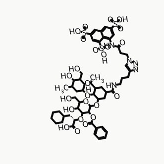 CCC1CC(C(=O)NCCCc2cn(CCC(=O)Nc3cc(S(=O)(=O)O)cc4cc(S(=O)(=O)O)cc(S(=O)(=O)O)c34)nn2)CC(OC2OC(CO)C(O)C(O[C@@H](CC3CCCCC3)C(=O)O)C2OC(=O)c2ccccc2)C1OC1CC(C)C(O)C(CO)C1O